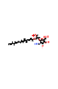 CCCCCCCCCCCCCCCCOC[C@@H](CO)CO[C@@H]1OC(CO)[C@@H](O)[C@H](O)C1N